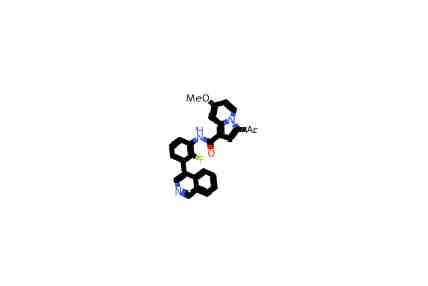 COc1ccn2c(C(C)=O)cc(C(=O)Nc3cccc(-c4cncc5ccccc45)c3F)c2c1